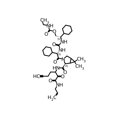 C#CCCC(NC(=O)[C@@H]1C2C(CN1C(=O)[C@@H](NC(=O)N[C@H](COC(=O)NCC)C1CCCCC1)C1CCCCC1)C2(C)C)C(=O)C(=O)NCC=C